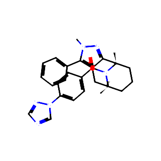 Cn1nc2c(c1-c1ccccc1)C[C@H]1CCC[C@@H]2N1C(=O)c1ccc(-n2cncn2)cc1